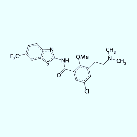 COc1c(CCN(C)C)cc(Cl)cc1C(=O)Nc1nc2ccc(C(F)(F)F)cc2s1